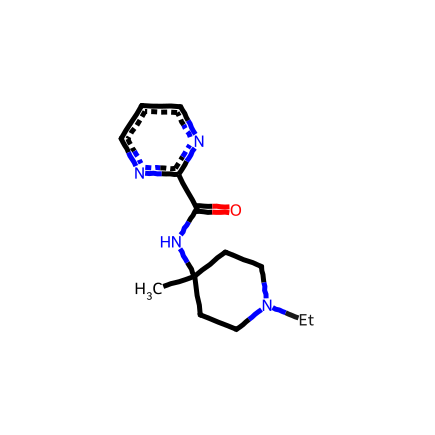 CCN1CCC(C)(NC(=O)c2ncccn2)CC1